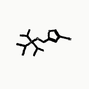 CC(C)[Si](OCc1cc(Br)cs1)(C(C)C)C(C)C